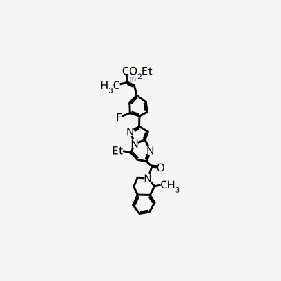 CCOC(=O)/C(C)=C/c1ccc(-c2cc3nc(C(=O)N4CCc5ccccc5C4C)cc(CC)n3n2)c(F)c1